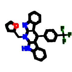 FC(F)(F)c1ccc(-c2c3c4ccccc4nc-3n(Cc3ccco3)c3[nH]c4ccccc4c23)cc1